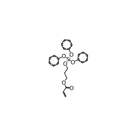 C=CC(=O)OCCCO[Si](Oc1ccccc1)(Oc1ccccc1)Oc1ccccc1